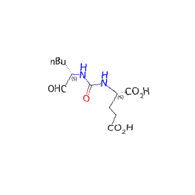 CCCC[C@@H](C=O)NC(=O)N[C@@H](CCC(=O)O)C(=O)O